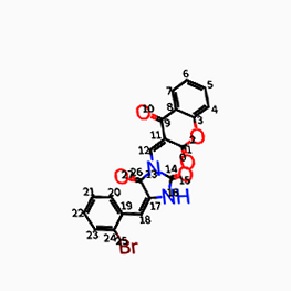 O=C1Oc2ccccc2C(=O)C1=CN1C(=O)NC(=Cc2ccccc2Br)C1=O